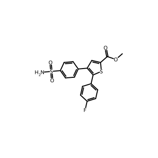 COC(=O)c1cc(-c2ccc(S(N)(=O)=O)cc2)c(-c2ccc(F)cc2)s1